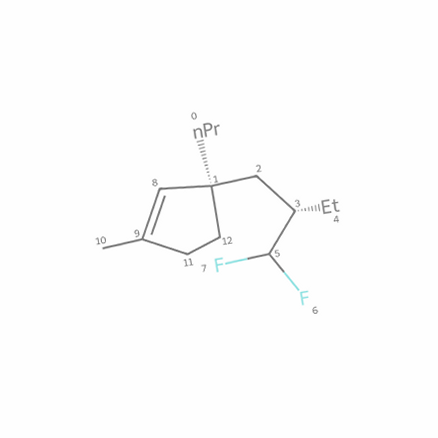 CCC[C@@]1(C[C@H](CC)C(F)F)C=C(C)CC1